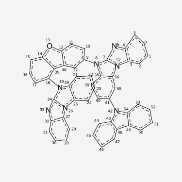 c1ccc2c(c1)nc1n(-c3ccc4oc5cccc(-n6c7ccccc7n7c8ccccc8nc67)c5c4c3)c3ccc(-n4c5ccccc5c5ccccc54)cc3n21